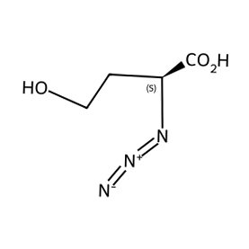 [N-]=[N+]=N[C@@H](CCO)C(=O)O